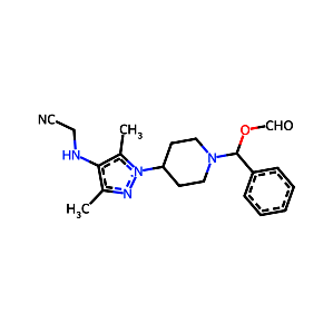 Cc1nn(C2CCN(C(OC=O)c3ccccc3)CC2)c(C)c1NCC#N